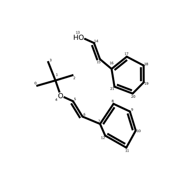 CC(C)(C)OC=Cc1ccccc1.OC=Cc1ccccc1